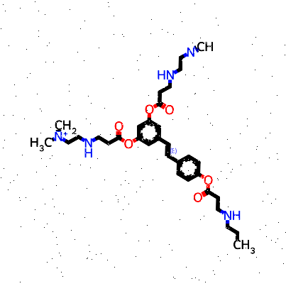 C#[N+]CCNCCC(=O)Oc1cc(/C=C/c2ccc(OC(=O)CCNCCC)cc2)cc(OC(=O)CCNCC[N+](=C)C)c1